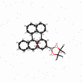 CC1(C)OB(c2cccc(-c3cccc4cccc(-c5cccc6ccccc56)c34)c2)OC1(C)C